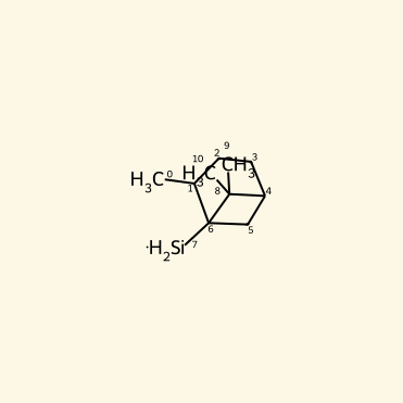 CC1CCC2CC1([SiH2])C2(C)C